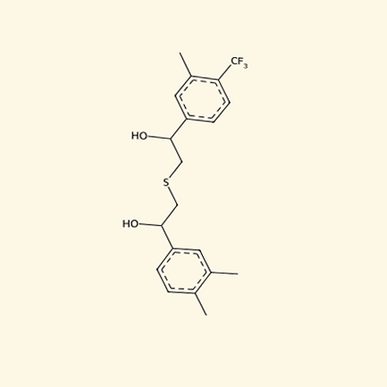 Cc1ccc(C(O)CSCC(O)c2ccc(C(F)(F)F)c(C)c2)cc1C